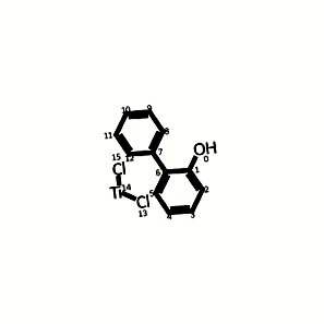 Oc1ccccc1-c1ccccc1.[Cl][Ti][Cl]